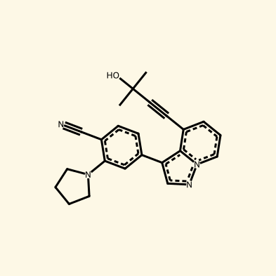 CC(C)(O)C#Cc1cccn2ncc(-c3ccc(C#N)c(N4CCCC4)c3)c12